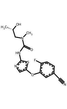 C[C@H](O)CN(C)C(=O)Nc1ncc(Oc2cc(C#N)ccc2F)s1